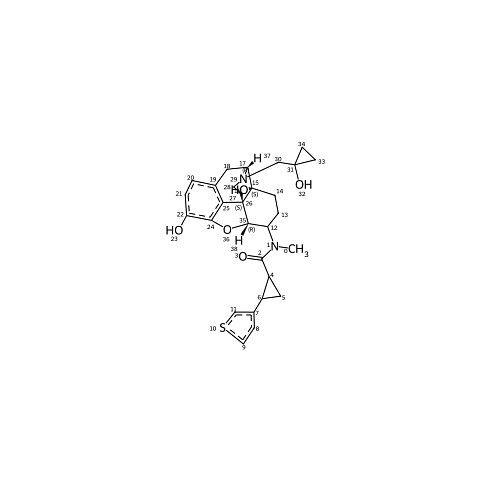 CN(C(=O)C1CC1c1ccsc1)C1CC[C@@]2(O)[C@H]3Cc4ccc(O)c5c4[C@@]2(CCN3CC2(O)CC2)[C@H]1O5